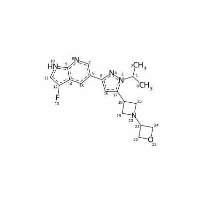 CC(C)n1nc(-c2cnc3[nH]cc(F)c3c2)cc1C1CN(C2COC2)C1